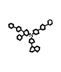 C1=CC(c2ccc(-c3ccc(N(c4ccc(-c5cccc6ccccc56)cc4)c4ccc(-c5ccc(-c6ccccc6)cc5)c(-c5ccccc5)c4)cc3)cc2)=CCC1